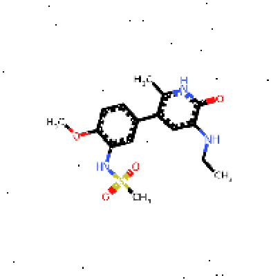 CCNc1cc(-c2ccc(OC)c(NS(C)(=O)=O)c2)c(C)[nH]c1=O